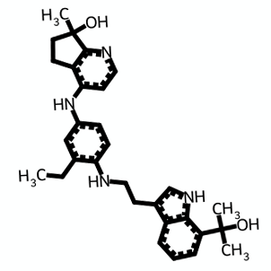 CCc1cc(Nc2ccnc3c2CCC3(C)O)ccc1NCCc1c[nH]c2c(C(C)(C)O)cccc12